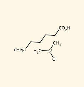 CCCCCCCCCCCC(=O)O.C[S+](C)[O-]